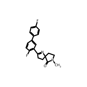 CN1CCC2(CCC(c3cc(-c4ccc(F)cc4)ccc3F)=N2)C1=O